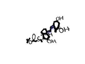 C=C1/C(=C\C=C2/CCC[C@@]3(C)[C@H]2C[C@H](O)[C@@H]3C(C)SCC(=O)OC(C)(C)C)C[C@@H](O)C[C@@H]1O